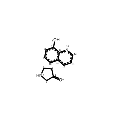 O=C1CCNC1.Oc1cccc2cccnc12